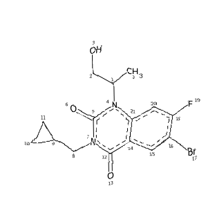 CC(CO)n1c(=O)n(CC2CC2)c(=O)c2cc(Br)c(F)cc21